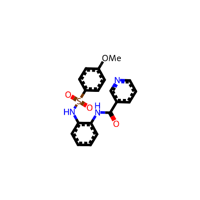 COc1ccc(S(=O)(=O)Nc2ccccc2NC(=O)c2cccnc2)cc1